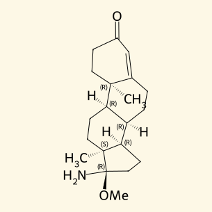 CO[C@]1(N)CC[C@@H]2[C@@H]3CCC4=CC(=O)CC[C@]4(C)[C@@H]3CC[C@@]21C